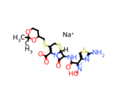 CC1(C)OCCC(CSC2=C(C(=O)[O-])N3C(=O)C(NC(=O)/C(=N\O)c4csc(N)n4)[C@H]3SC2)O1.[Na+]